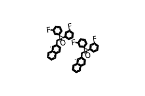 O=P(Cc1[c]c2ccccc2cc1)(c1cccc(F)c1)c1cccc(F)c1.O=P(Cc1[c]c2ccccc2cc1)(c1cccc(F)c1)c1cccc(F)c1